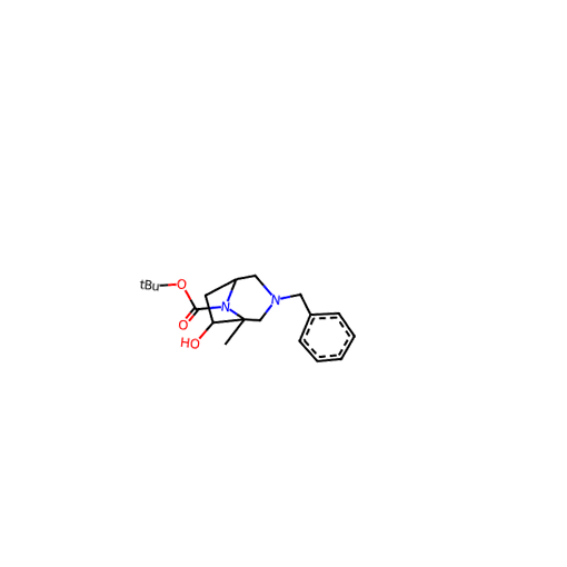 CC(C)(C)OC(=O)N1C2CC(O)C1(C)CN(Cc1ccccc1)C2